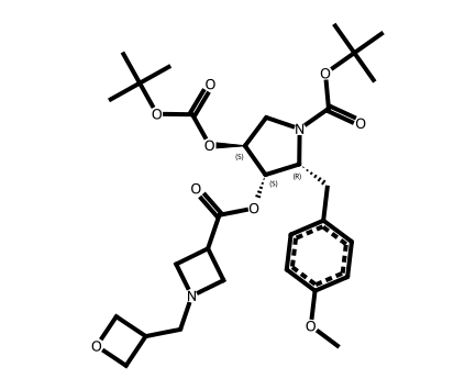 COc1ccc(C[C@@H]2[C@H](OC(=O)C3CN(CC4COC4)C3)[C@@H](OC(=O)OC(C)(C)C)CN2C(=O)OC(C)(C)C)cc1